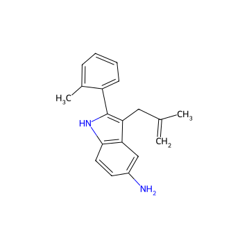 C=C(C)Cc1c(-c2ccccc2C)[nH]c2ccc(N)cc12